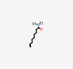 C=CCCCCCCC(=O)N(CC)CC